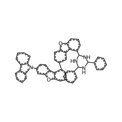 c1ccc(C2NC(c3ccccc3)NC(c3cccc4oc5ccc(-c6cccc7oc8cc(-n9c%10ccccc%10c%10ccccc%109)ccc8c67)cc5c34)N2)cc1